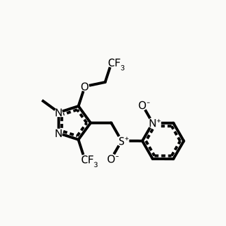 Cn1nc(C(F)(F)F)c(C[S+]([O-])c2cccc[n+]2[O-])c1OCC(F)(F)F